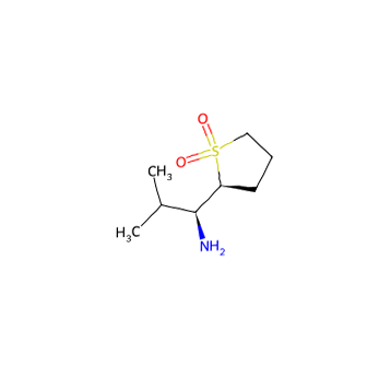 CC(C)[C@H](N)[C@@H]1CCCS1(=O)=O